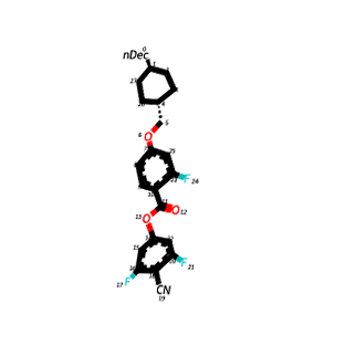 CCCCCCCCCC[C@H]1CC[C@H](COc2ccc(C(=O)Oc3cc(F)c(C#N)c(F)c3)c(F)c2)CC1